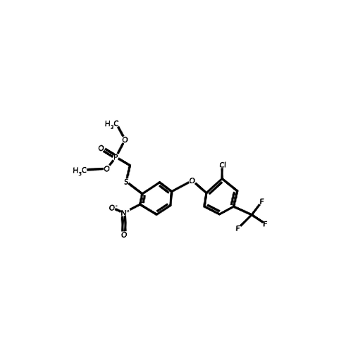 COP(=O)(CSc1cc(Oc2ccc(C(F)(F)F)cc2Cl)ccc1[N+](=O)[O-])OC